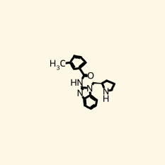 Cc1cccc(C(=O)Nc2nc3ccccc3n2C[C@H]2CCCN2)c1